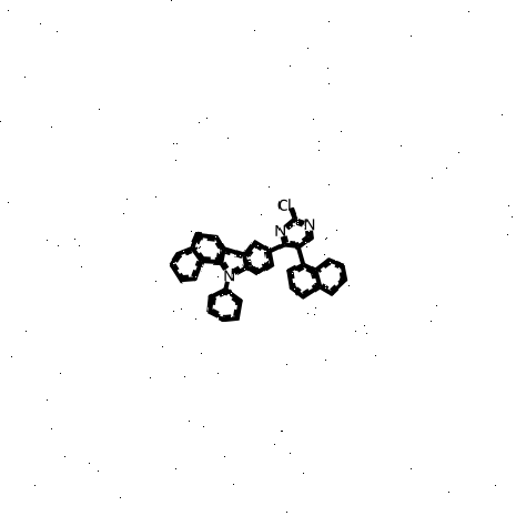 Clc1ncc(-c2cccc3ccccc23)c(-c2ccc3c(c2)c2ccc4ccccc4c2n3-c2ccccc2)n1